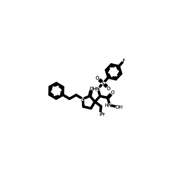 CC(C)CC1(C(NS(=O)(=O)c2ccc(F)cc2)C(=O)NO)CCN(CCc2ccccc2)C1=O